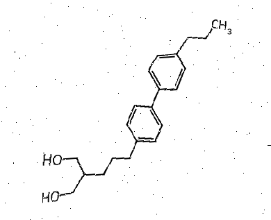 CCCc1ccc(-c2ccc(CCCC(CO)CO)cc2)cc1